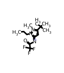 CCCn1/c(=N\C(=O)C(F)(F)F)cc(C(C)(C)C)n1C